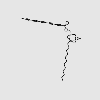 CC#CC#CC#CC#CC#CC(=O)OC[C@H](CO)OC(=O)CCCCCCCCCCCC